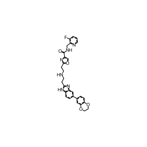 O=C(NCc1ncccc1F)c1coc(CCNCCc2nc3cc(-c4ccc5c(c4)OCCO5)ccc3[nH]2)n1